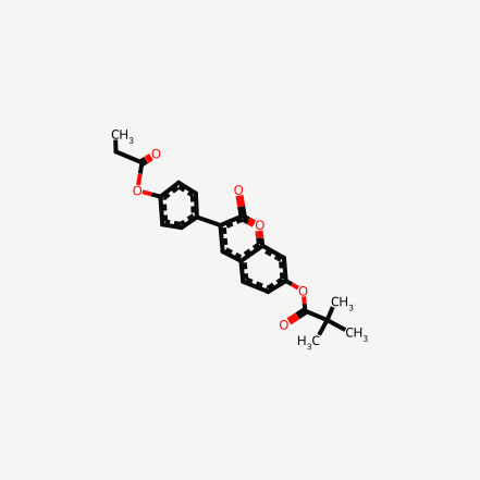 CCC(=O)Oc1ccc(-c2cc3ccc(OC(=O)C(C)(C)C)cc3oc2=O)cc1